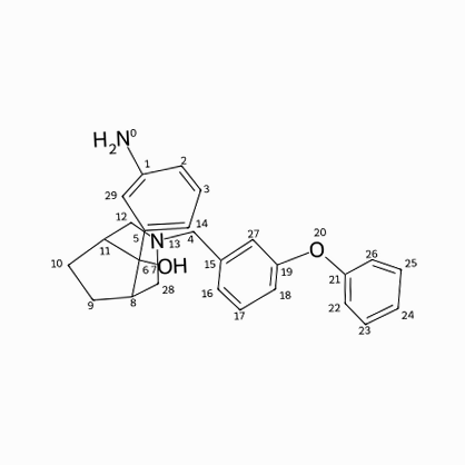 Nc1cccc(C2(O)C3CCC2CN(Cc2cccc(Oc4ccccc4)c2)C3)c1